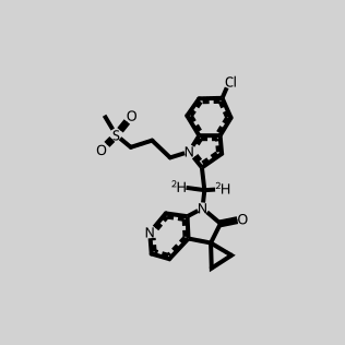 [2H]C([2H])(c1cc2cc(Cl)ccc2n1CCCS(C)(=O)=O)N1C(=O)C2(CC2)c2ccncc21